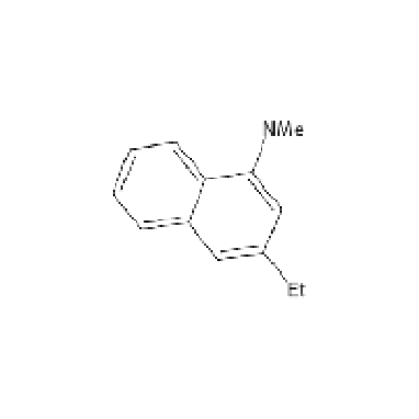 CCc1cc(NC)c2ccccc2c1